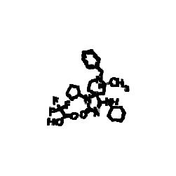 C[C@@H]1C[C@@]2(CCN1Cc1ccccc1)C(NC1CCCCC1)=NC(=O)N2C1CCCC1.O=C(O)C(F)(F)F